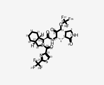 O=C1NCC[C@H]1C[C@H](NC(=O)[C@@H]1[C@H]2CCCC[C@H]2CN1C(=O)c1csc(C(F)(F)F)n1)C(=O)COC(F)(F)F